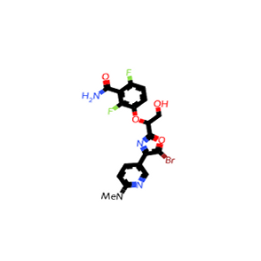 CNc1ccc(-c2nc(C(CO)Oc3ccc(F)c(C(N)=O)c3F)oc2Br)cn1